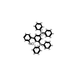 O=[N+]([O-])c1ccccc1-c1cc(N(c2ccccc2)c2ccccc2)cc(N(c2ccccc2)c2ccccc2)c1